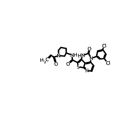 C=CC(=O)N1CCCC(NC(=O)c2sc3nccc4c3c2NC(=O)N4c2cc(Cl)cc(Cl)c2)C1